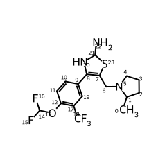 CC1CCCN1CC1=C(c2ccc(OC(F)F)c(C(F)(F)F)c2)NC(N)S1